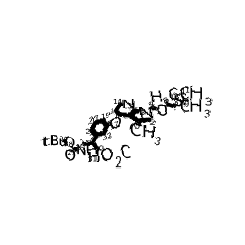 Cc1cn(COCC[Si](C)(C)C)c2nccc(Oc3cccc(C(CNC(=O)OC(C)(C)C)CC(=O)O)c3)c12